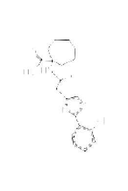 O=C(O)C1(NC(O)Cc2csc(-c3ccccc3Cl)n2)CCCCCC1